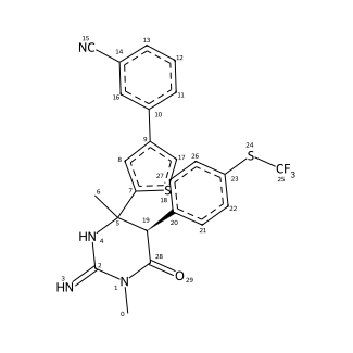 CN1C(=N)NC(C)(c2cc(-c3cccc(C#N)c3)cs2)[C@@H](c2ccc(SC(F)(F)F)cc2)C1=O